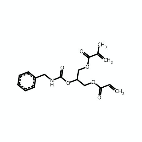 C=CC(=O)OCC(COC(=O)C(=C)C)OC(=O)NCc1ccccc1